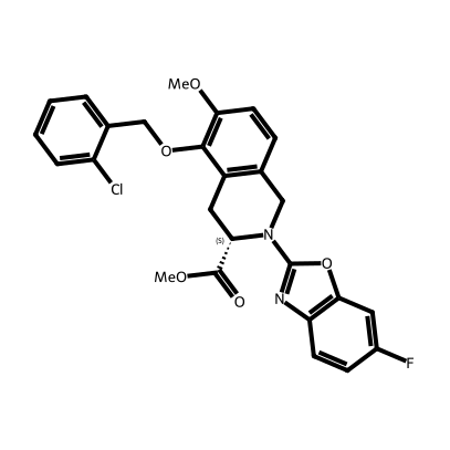 COC(=O)[C@@H]1Cc2c(ccc(OC)c2OCc2ccccc2Cl)CN1c1nc2ccc(F)cc2o1